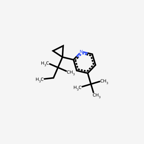 CCC(C)(C)C1(c2cc(C(C)(C)C)ccn2)CC1